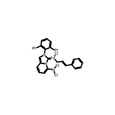 CCN(CC)c1cccc2cn(-c3c(C(C)C)cccc3C(C)C)[c](=[Pd]([Cl])[CH2]C=Cc3ccccc3)n12